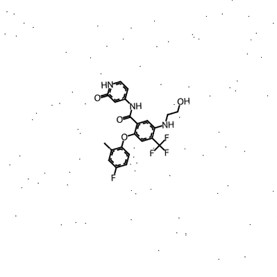 Cc1cc(F)ccc1Oc1cc(C(F)(F)F)c(NCCO)cc1C(=O)Nc1cc[nH]c(=O)c1